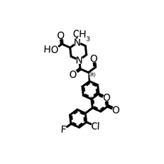 CN1CCN(C(=O)[C@@H](C=O)c2ccc3c(-c4ccc(F)cc4Cl)cc(=O)oc3c2)CC1C(=O)O